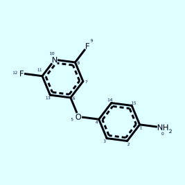 Nc1ccc(Oc2cc(F)nc(F)c2)cc1